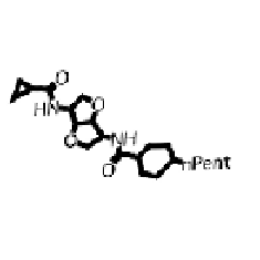 CCCCCC1CCC(C(=O)NC2COC3C(NC(=O)C4CC4)COC23)CC1